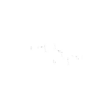 C/C(C=N)=C(\C#N)N[C@H]1CC[C@@](C)(C(=O)O)CC1